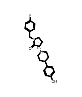 O=C1[C@@H](N2CCC(c3ccc(O)cc3)CC2)CCN1Cc1ccc(F)cc1